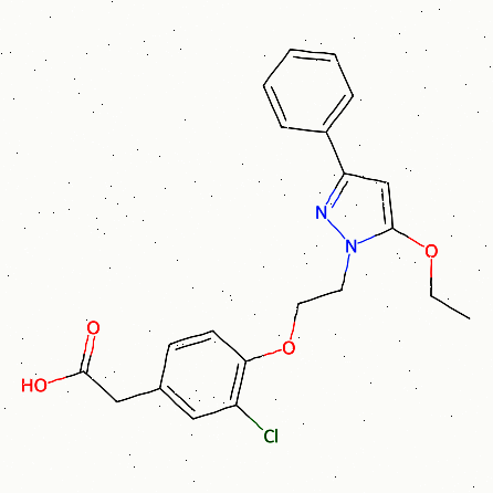 CCOc1cc(-c2ccccc2)nn1CCOc1ccc(CC(=O)O)cc1Cl